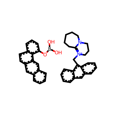 OB(O)Oc1cccc2ccc3cc4ccccc4cc3c12.c1ccc2c(C[N+]3=C4CCCCCN4CCC3)c3ccccc3cc2c1